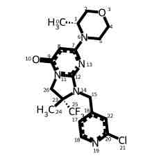 C[C@@H]1COCCN1c1cc(=O)n2c(n1)N(Cc1ccnc(Cl)c1)[C@](C)(C(F)(F)F)C2